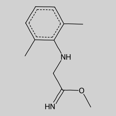 COC(=N)CNc1c(C)cccc1C